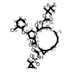 C[C@@H]1CC/C=C\C2C[C@@]2(C(=O)NS(=O)(=O)C2(C)CC2)NC(=O)[C@@H]2C[C@@H](Oc3ncccc3Cl)CN2C(=O)[C@@H](NC(=O)OC(C)(C)C(F)(F)F)[C@H](C)C1